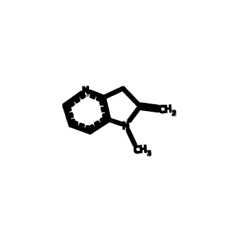 C=C1Cc2ncccc2N1C